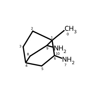 CC12CCC(CC1N)CC2N